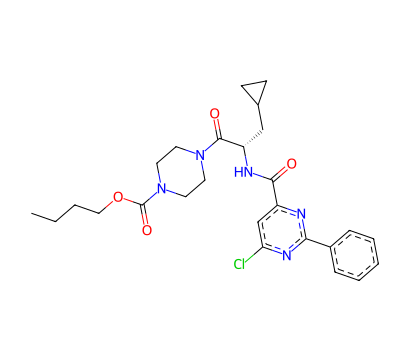 CCCCOC(=O)N1CCN(C(=O)[C@H](CC2CC2)NC(=O)c2cc(Cl)nc(-c3ccccc3)n2)CC1